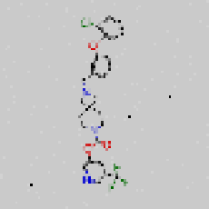 O=C(Oc1cncc(C(F)(F)F)c1)N1CCC2(CC1)CN(Cc1cccc(Oc3ccccc3Cl)c1)C2